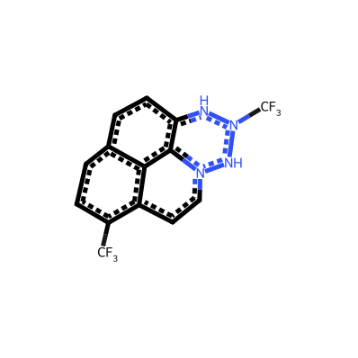 FC(F)(F)c1ccc2ccc3[nH]n(C(F)(F)F)[nH]n4ccc1c2c34